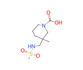 CC1(CNS(C)(=O)=O)CCCN(C(=O)O)C1